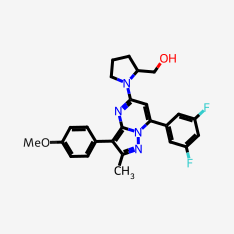 COc1ccc(-c2c(C)nn3c(-c4cc(F)cc(F)c4)cc(N4CCCC4CO)nc23)cc1